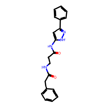 O=C(Cc1ccccc1)NCCC(=O)Nc1cc(-c2ccccc2)n[nH]1